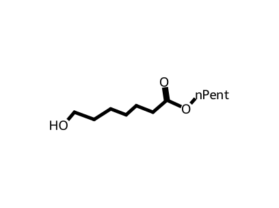 CCCCCOC(=O)CCCCCCO